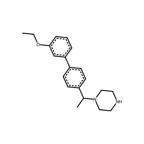 CCOc1cccc(-c2ccc(C(C)N3CCNCC3)cc2)c1